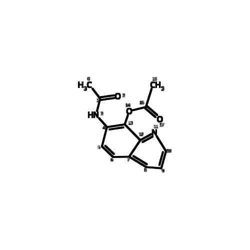 CC(=O)Nc1ccc2cccnc2c1OC(C)=O